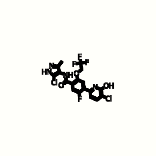 Cc1n[nH]c(Cl)c1NC(=O)c1cc(F)c(-c2ccc(Cl)c(O)n2)cc1OCC(F)(F)F